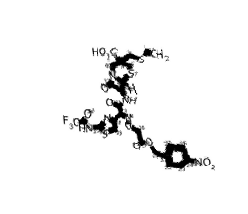 C=CSCC1(C(=O)O)CS[C@@H]2C(NC(=O)C(=NOCC(=O)OCc3ccc([N+](=O)[O-])cc3)c3csc(NC(=O)C(F)(F)F)n3)C(=O)N2C1